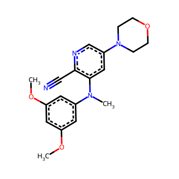 COc1cc(OC)cc(N(C)c2cc(N3CCOCC3)cnc2C#N)c1